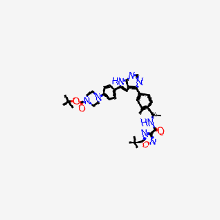 Cc1cc(-c2ncnc3[nH]c(-c4ccc(N5CCN(C(=O)OC(C)(C)C)CC5)cc4)cc23)ccc1[C@@H](C)NC(=O)c1noc(C(C)(C)C)n1